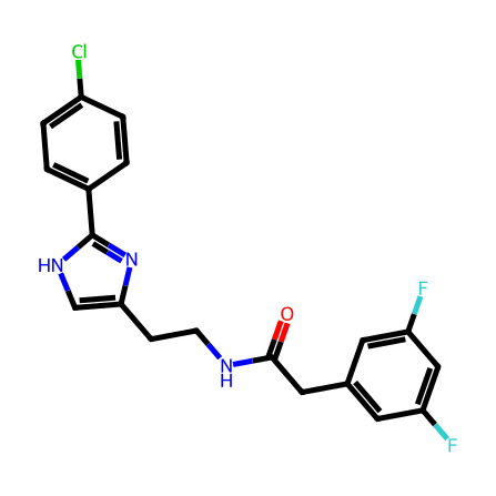 O=C(Cc1cc(F)cc(F)c1)NCCc1c[nH]c(-c2ccc(Cl)cc2)n1